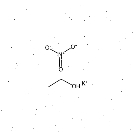 CCO.O=[N+]([O-])[O-].[K+]